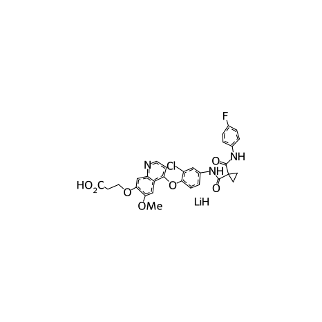 COc1cc2c(Oc3ccc(NC(=O)C4(C(=O)Nc5ccc(F)cc5)CC4)cc3Cl)ccnc2cc1OCCC(=O)O.[LiH]